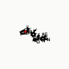 CCc1cc(N2C(=S)N(c3cnc(C#N)c(C(F)(F)F)c3)C(=O)C23CCC3)ccc1OCCN1CC2CCC(C1)N2C(=O)OC(C)(C)C